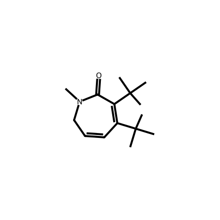 CN1CC=CC(C(C)(C)C)=C(C(C)(C)C)C1=O